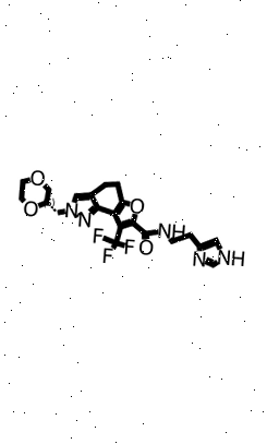 O=C(NCCc1c[nH]cn1)c1oc2c(c1C(F)(F)F)-c1nn(C[C@H]3COCCO3)cc1CC2